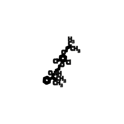 CC(C)=CCOc1cc(Cl)c(OCCCNC(=O)C(=C(C)C)c2ccccc2)c(Cl)c1